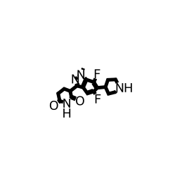 Cn1nc(C2CCC(=O)NC2=O)c2cc(F)c(C3CCNCC3)c(F)c21